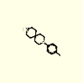 Cc1ccc(N2CCC3(CCNCC3)CC2)cc1